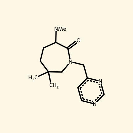 CNC1CCC(C)(C)CN(Cc2ccncn2)C1=O